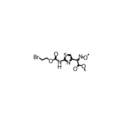 CON=C(C(=O)OC)c1csc(NC(=O)OCCBr)n1